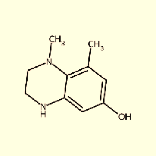 Cc1cc(O)cc2c1N(C)CCN2